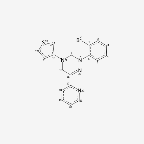 Brc1ccccc1N1CN(c2ccsc2)CC(c2ccccn2)=N1